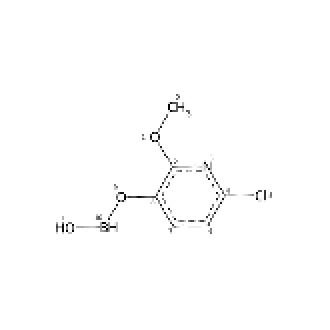 COc1nc(Cl)ccc1OBO